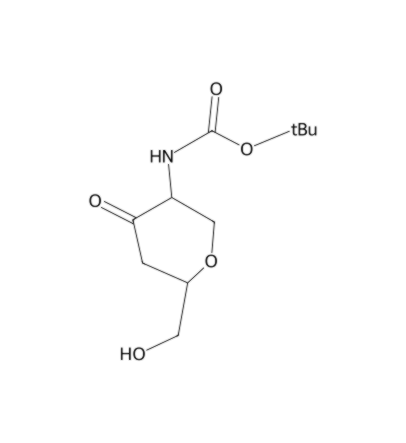 CC(C)(C)OC(=O)NC1COC(CO)CC1=O